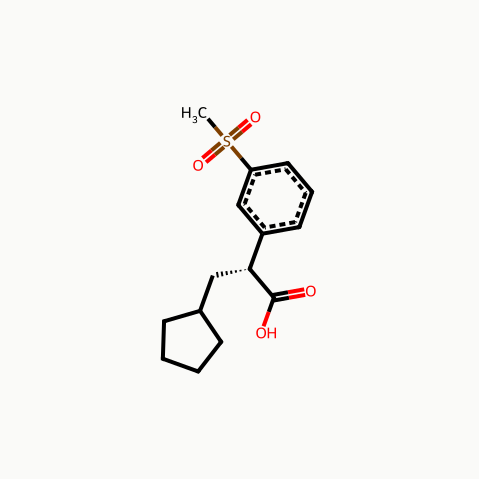 CS(=O)(=O)c1cccc([C@@H](CC2CCCC2)C(=O)O)c1